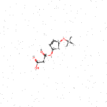 C[Si](C)(C)O[C@@H]1C=C[C@H](OC(=O)CC(=O)O)C1